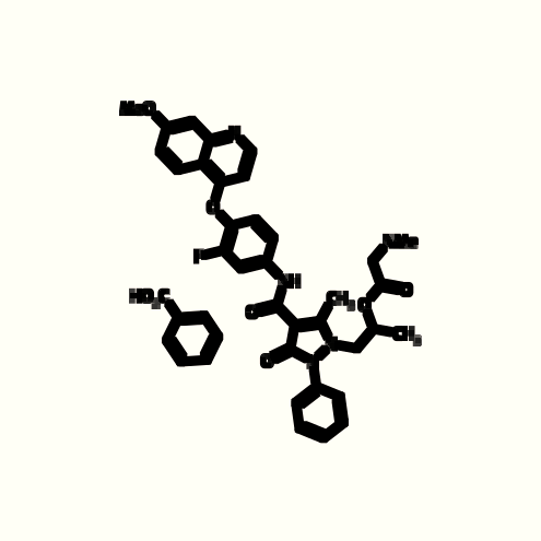 CNCC(=O)OC(C)Cn1c(C)c(C(=O)Nc2ccc(Oc3ccnc4cc(OC)ccc34)c(F)c2)c(=O)n1-c1ccccc1.O=C(O)c1ccccc1